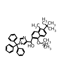 Cc1c(C(C)(C)C)ccc2c(O[SiH](C)C)c(C(O)c3cn(C(c4ccccc4)(c4ccccc4)c4ccccc4)cn3)ccc12